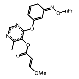 CCCON=C1C=C(Oc2ncnc(C)c2OC(=O)C=COC)C=CC1